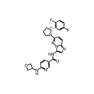 O=C(Nc1cnc2ccc(N3CCC[C@@H]3c3cc(F)ccc3F)nn12)c1ccc(NC2COC2)nc1